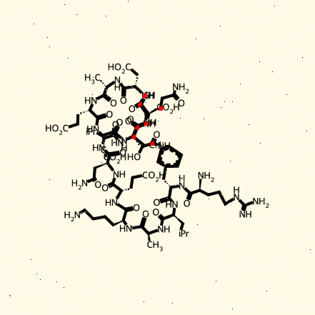 CC(C)C[C@H](NC(=O)[C@H](Cc1ccccc1)NC(=O)[C@@H](N)CCCNC(=N)N)C(=O)N[C@@H](C)C(=O)N[C@@H](CCCCN)C(=O)N[C@@H](CCC(=O)O)C(=O)N[C@@H](CC(N)=O)C(=O)N[C@H](C(=O)N[C@H](C(=O)N[C@@H](CCC(N)=O)C(=O)N[C@@H](CC(=O)O)C(=O)N[C@@H](C)C(=O)N[C@@H](CCC(=O)O)C(=O)N[C@@H](CC(=O)O)C(=O)N[C@@H](CC(N)=O)C(=O)N[C@@H](CS)C(=O)O)[C@@H](C)O)C(C)C